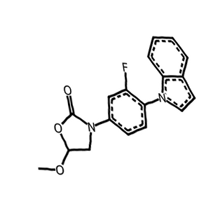 COC1CN(c2ccc(-n3ccc4ccccc43)c(F)c2)C(=O)O1